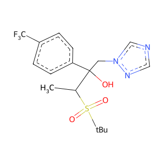 CC(C(O)(Cn1cncn1)c1ccc(C(F)(F)F)cc1)S(=O)(=O)C(C)(C)C